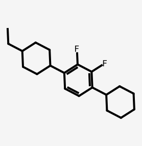 CCC1CCC(c2ccc(C3CCCCC3)c(F)c2F)CC1